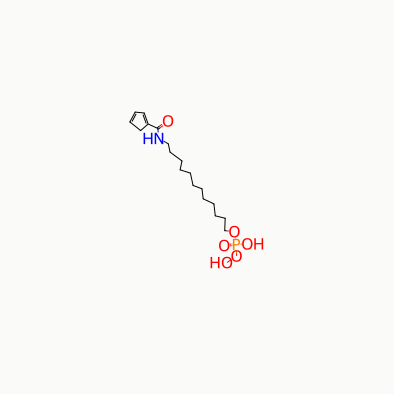 O=C(NCCCCCCCCCCCCOP(=O)(O)OO)C1=CC=CC1